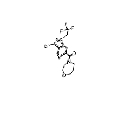 O=C(c1cc2c(cn1)c(Br)nn2CC(F)(F)F)N1CCCOCC1